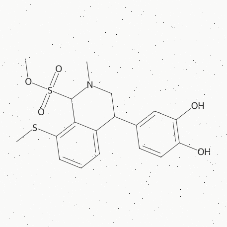 COS(=O)(=O)C1c2c(SC)cccc2C(c2ccc(O)c(O)c2)CN1C